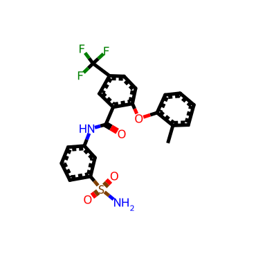 Cc1ccccc1Oc1ccc(C(F)(F)F)cc1C(=O)Nc1cccc(S(N)(=O)=O)c1